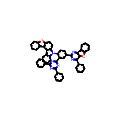 c1ccc(-c2nc(-c3ccccc3)nc(-c3cc(-c4nc(-c5ccccc5)c5oc6ccccc6c5n4)ccc3-n3c4ccccc4c4c5c(ccc43)oc3ccccc35)n2)cc1